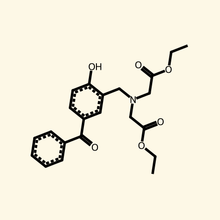 CCOC(=O)CN(CC(=O)OCC)Cc1cc(C(=O)c2ccccc2)ccc1O